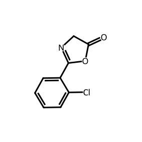 O=C1CN=C(c2ccccc2Cl)O1